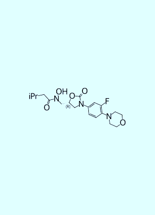 CC(C)CC(=O)N(O)C[C@H]1CN(c2ccc(N3CCOCC3)c(F)c2)C(=O)O1